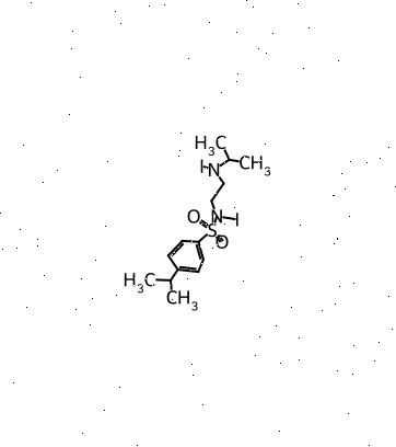 CC(C)c1ccc(S(=O)(=O)N(I)CCN(I)C(C)C)cc1